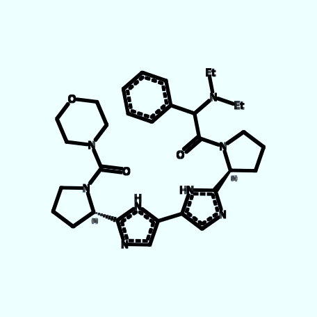 CCN(CC)C(C(=O)N1CCC[C@H]1c1ncc(-c2cnc([C@@H]3CCCN3C(=O)N3CCOCC3)[nH]2)[nH]1)c1ccccc1